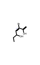 C=C(O)/C(Br)=C\C(O)CC